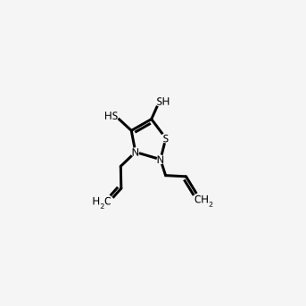 C=CCN1SC(S)=C(S)N1CC=C